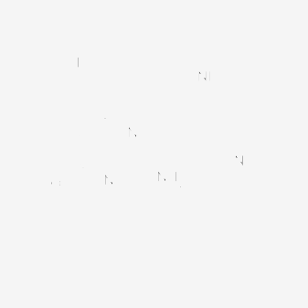 CN1C(=O)C(C)(C)C(C)(c2cc(NC3CCN(Cc4ccccc4)CC3)ccc2F)N=C1N